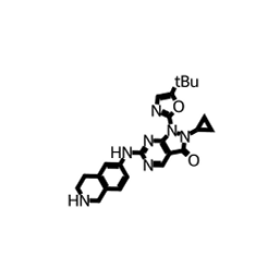 CC(C)(C)c1cnc(-n2c3nc(Nc4ccc5c(c4)CCNC5)ncc3c(=O)n2C2CC2)o1